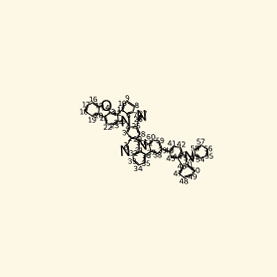 N#Cc1cc(-n2c3ccccc3c3c4oc5ccccc5c4ccc32)c(C#N)cc1-n1c2ccccc2c2cc(-c3ccc4c(c3)c3ccccc3n4-c3ccccc3)ccc21